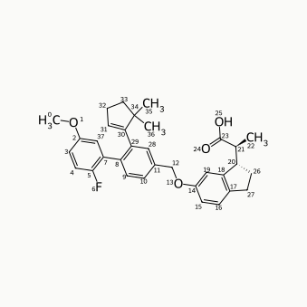 COc1ccc(F)c(-c2ccc(COc3ccc4c(c3)[C@H]([C@H](C)C(=O)O)CC4)cc2C2=CCCC2(C)C)c1